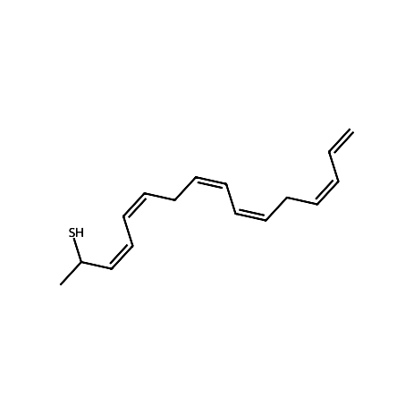 C=C/C=C\C/C=C\C=C/C/C=C\C=C/C(C)S